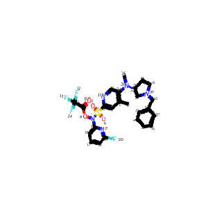 Cc1cc(S(=O)(=O)N(OC(=O)C(F)(F)F)c2cccc(F)n2)ncc1N(C)[C@H]1CCN(Cc2ccccc2)C1